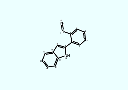 [N]=Nc1ccccc1-c1cc2ccccc2[nH]1